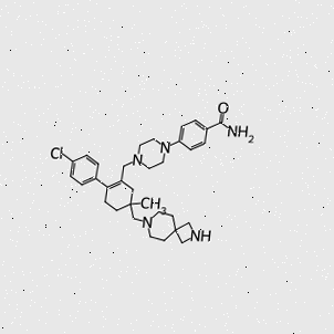 CC1(CN2CCC3(CC2)CNC3)CCC(c2ccc(Cl)cc2)=C(CN2CCN(c3ccc(C(N)=O)cc3)CC2)C1